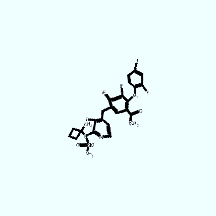 CC1(N(c2nccc(Cc3cc(C(N)=O)c(Nc4ccc(I)cc4F)c(F)c3F)c2F)S(N)(=O)=O)CCC1